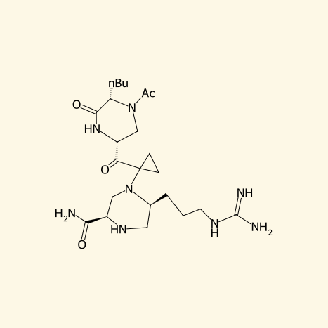 CCCC[C@H]1C(=O)N[C@@H](C(=O)C2(N3C[C@H](C(N)=O)NC[C@@H]3CCCNC(=N)N)CC2)CN1C(C)=O